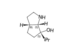 CC(C)[C@@]1(O)CC[C@@H]2CCN[C@@H]21